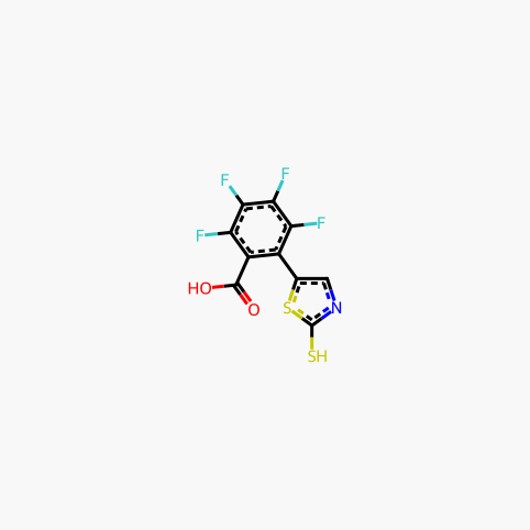 O=C(O)c1c(F)c(F)c(F)c(F)c1-c1cnc(S)s1